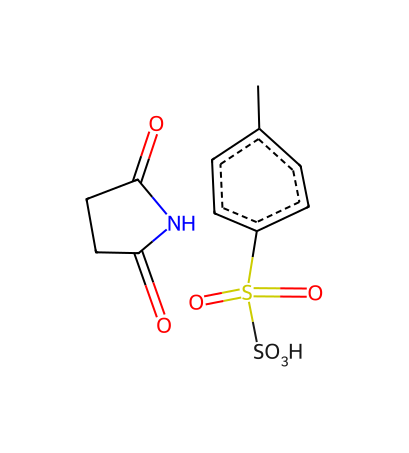 Cc1ccc(S(=O)(=O)S(=O)(=O)O)cc1.O=C1CCC(=O)N1